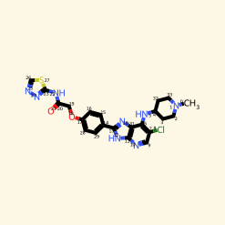 CN1CCC(Nc2c(Cl)cnc3[nH]c(-c4ccc(OCC(=O)Nc5nncs5)cc4)nc23)CC1